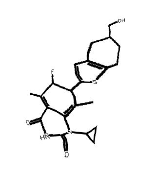 CC1=c2c(=O)[nH]c(=O)n(C3CC3)c2=C(C)C(c2cc3c(s2)CCC(CO)C3)C1F